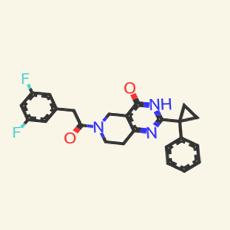 O=C(Cc1cc(F)cc(F)c1)N1CCc2nc(C3(c4ccccc4)CC3)[nH]c(=O)c2C1